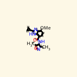 COc1ccc(C(=O)Nc2c(C)noc2C)c2[nH]c(C3CC3)nc12